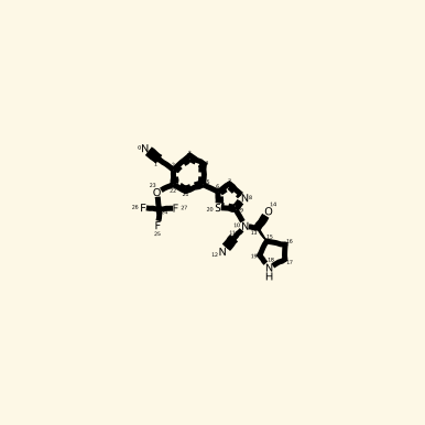 N#Cc1ccc(-c2cnc(N(C#N)C(=O)[C@H]3CCNC3)s2)cc1OC(F)(F)F